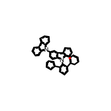 C1=CC=C(c2cccc(-c3ccccc3)c2-n2c3ccccc3c3cc(-n4c5ccccc5c5ccccc54)ccc32)CC=1